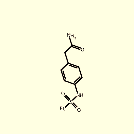 CCS(=O)(=O)Nc1ccc(CC(N)=O)cc1